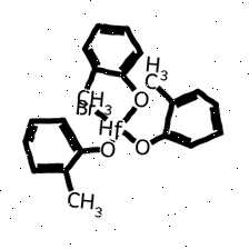 Cc1ccccc1[O][Hf]([Br])([O]c1ccccc1C)[O]c1ccccc1C